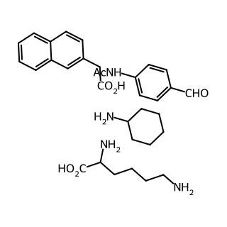 CC(=O)Nc1ccc(C=O)cc1.NC1CCCCC1.NCCCCC(N)C(=O)O.O=C(O)Cc1ccc2ccccc2c1